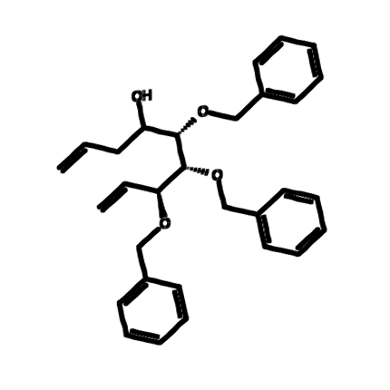 C=CCC(O)[C@H](OCc1ccccc1)[C@H](OCc1ccccc1)[C@H](C=C)OCc1ccccc1